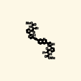 COC(=O)N[C@H](C(=O)N1CCC[C@H]1c1nc(-c2cnc3cc(C#Cc4cnc([C@@H]5CCCN5C(=O)[C@@H](NC(=O)OC)C(C)C)[nH]4)ccc3c2)c[nH]1)C(C)C